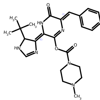 CN1CCN(C(=O)Oc2n/c(=C\c3ccccc3)c(=O)[nH]/c2=C2/N=CNC2C(C)(C)C)CC1